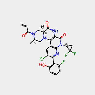 C=CC(=O)N1C[C@@H]2C(=O)Nc3c(c4cc(Cl)c(-c5c(O)cccc5F)nc4n([C@@H]4CC4(F)F)c3=O)N2C[C@H]1C